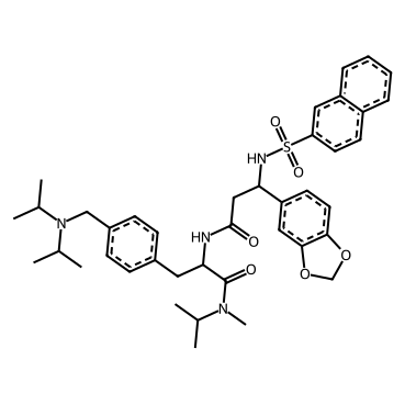 CC(C)N(C)C(=O)C(Cc1ccc(CN(C(C)C)C(C)C)cc1)NC(=O)CC(NS(=O)(=O)c1ccc2ccccc2c1)c1ccc2c(c1)OCO2